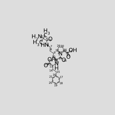 CC(C)(N)C(=O)NCCCC[C@H](NC(CCc1ccccc1)C(=O)O)C(=O)N1CCC[C@H]1C(=O)O